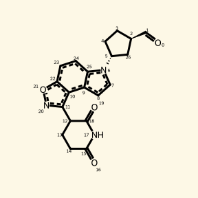 O=C[C@@H]1CC[C@@H](n2ccc3c4c(C5CCC(=O)NC5=O)noc4ccc32)C1